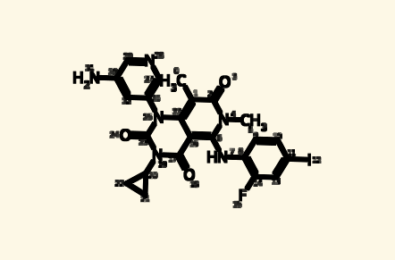 Cc1c(=O)n(C)c(Nc2ccc(I)cc2F)c2c(=O)n(C3CC3)c(=O)n(-c3cncc(N)c3)c12